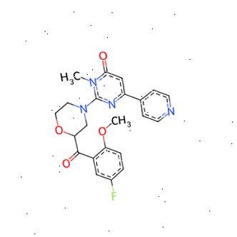 COc1ccc(F)cc1C(=O)C1CN(c2nc(-c3ccncc3)cc(=O)n2C)CCO1